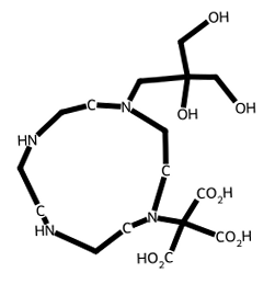 O=C(O)C(C(=O)O)(C(=O)O)N1CCNCCNCCN(CC(O)(CO)CO)CC1